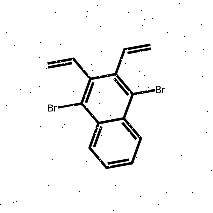 C=Cc1c(C=C)c(Br)c2ccccc2c1Br